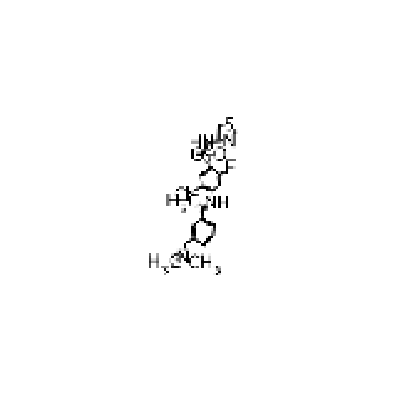 C[C@@H](Nc1cc(F)c(S(=O)(=O)Nc2cscn2)cc1Cl)c1cccc(CN(C)C)c1